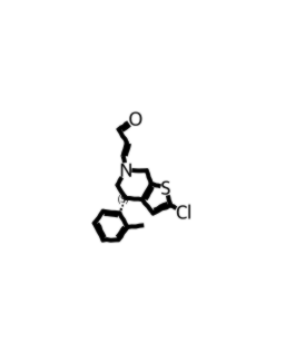 Cc1ccccc1[C@@H]1CN(C=CC=O)Cc2sc(Cl)cc21